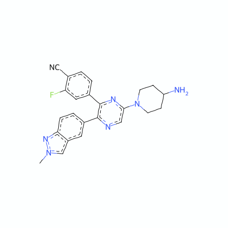 Cn1cc2cc(-c3ncc(N4CCC(N)CC4)nc3-c3ccc(C#N)c(F)c3)ccc2n1